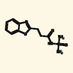 NP(N)(=O)NC(=O)CCc1nc2ccccc2o1